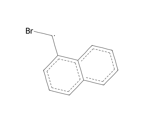 Br[CH]c1cccc2ccccc12